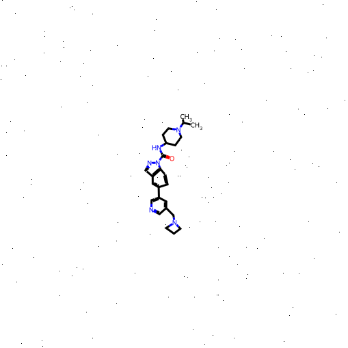 CC(C)N1CCC(NC(=O)n2ncc3cc(-c4cncc(CN5CCC5)c4)ccc32)CC1